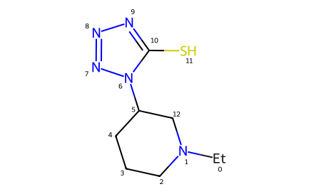 CCN1CCCC(n2nnnc2S)C1